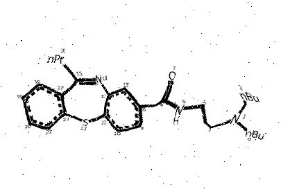 CCCCN(CCCC)CCNC(=O)c1ccc2c(c1)N=C(CCC)c1ccccc1S2